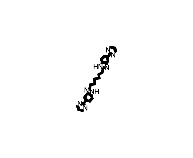 c1cnc(-c2ccc3[nH]c(CCCCCCc4nc5cc(-c6ncccn6)ccc5[nH]4)nc3c2)nc1